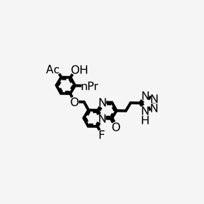 CCCc1c(OCc2ccc(F)n3c(=O)c(CCc4nnn[nH]4)cnc23)ccc(C(C)=O)c1O